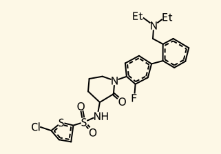 CCN(CC)Cc1ccccc1-c1ccc(N2CCCC(NS(=O)(=O)c3ccc(Cl)s3)C2=O)c(F)c1